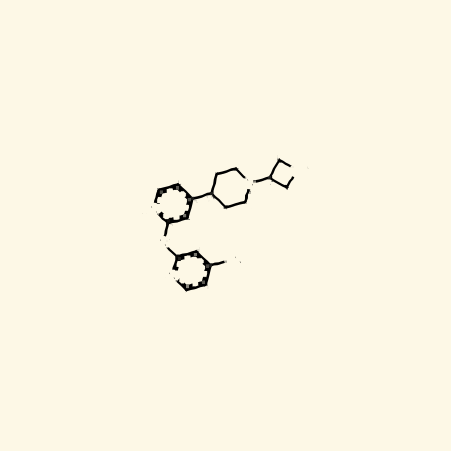 N#Cc1ccnc(Nc2cc(C3CCN(C4COC4)CC3)ccn2)c1